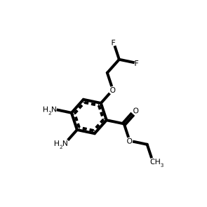 CCOC(=O)c1cc(N)c(N)cc1OCC(F)F